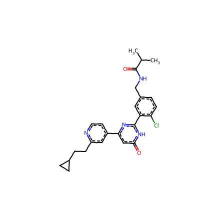 CC(C)C(=O)NCc1ccc(Cl)c(-c2nc(-c3ccnc(CCC4CC4)c3)cc(=O)[nH]2)c1